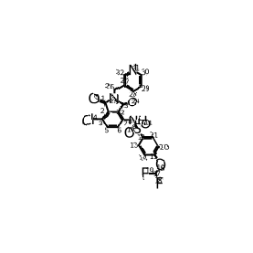 O=C1c2c(Cl)ccc(NS(=O)(=O)c3ccc(OC(F)F)cc3)c2C(=O)N1Cc1cccnc1